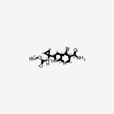 CC(C)(C)OC(=O)NC1(c2cc3c(Br)c(C(N)=O)cnc3[nH]2)CC1